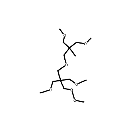 COCC(C)(COC)COCC(COC)(COC)COOC